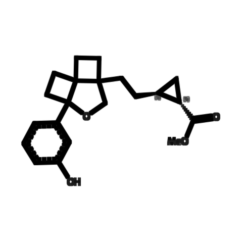 COC(=O)[C@H]1C[C@@H]1CCC12CCC13CCC3(c1cccc(O)c1)OC2